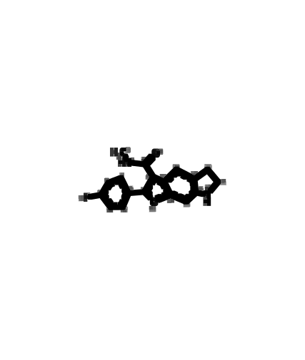 CNC(=O)c1c(-c2ccc(F)cc2)oc2cc3c(cc12)CCN3